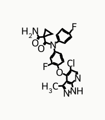 Cc1n[nH]c2ncc(Cl)c(Oc3ccc(N(C(=O)C4(C(N)=O)CC4)c4ccc(F)cc4)cc3F)c12